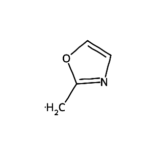 [CH2]c1ncco1